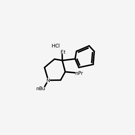 CCCCN1CCC(CC)(c2ccccc2)C(CCC)C1.Cl